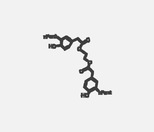 CCCCCc1cc(CC(=O)OCCOC(=O)Cc2ccc(O)c(CCCCC)c2)ccc1O